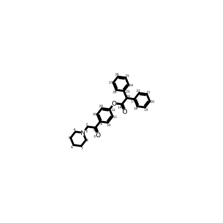 O=C(CN1CCCCC1)c1ccc(OC(=O)C(c2ccccc2)c2ccccc2)cc1